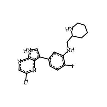 Fc1ccc(-c2c[nH]c3ncc(Cl)nc23)cc1NCC1CCCCN1